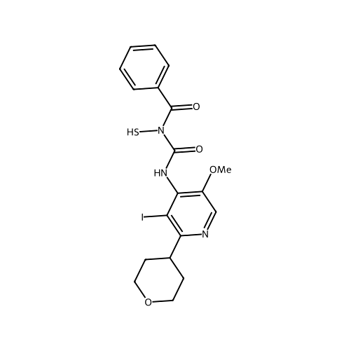 COc1cnc(C2CCOCC2)c(I)c1NC(=O)N(S)C(=O)c1ccccc1